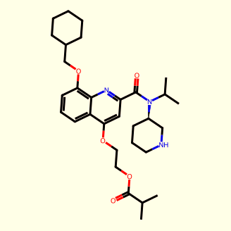 CC(C)C(=O)OCCOc1cc(C(=O)N(C(C)C)[C@@H]2CCCNC2)nc2c(OCC3CCCCC3)cccc12